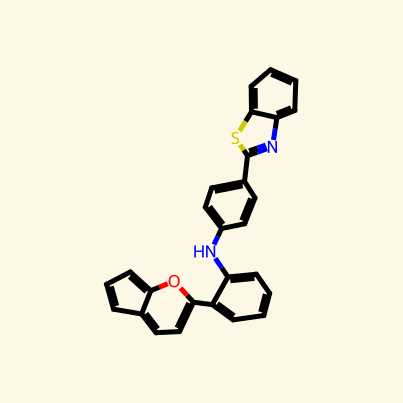 c1cc2ccc(-c3ccccc3Nc3ccc(-c4nc5ccccc5s4)cc3)oc-2c1